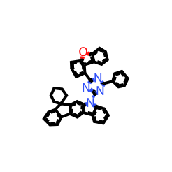 c1ccc(-c2nc(-c3cccc4oc5ccccc5c34)nc(-n3c4ccccc4c4cc5c(cc43)C3(CCCCC3)c3ccccc3-5)n2)cc1